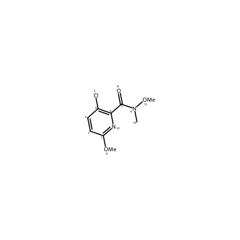 COc1ccc(Cl)c(C(=O)N(C)OC)n1